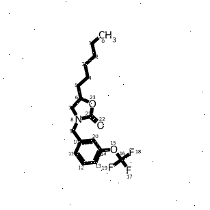 CCCCCCC1CN(Cc2cccc(OC(F)(F)F)c2)C(=O)O1